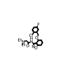 CCN(CC)CC(=O)Nc1noc2cccc(OCc3cc(F)ccc3Cl)c12